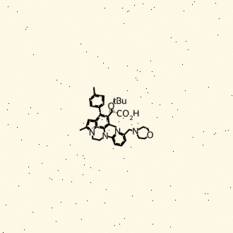 Cc1ccc(-c2c([C@H](OC(C)(C)C)C(=O)O)c(C)c3c4c2cc(C)n4CCN3c2cccc(CN3CCOCC3)n2)cc1